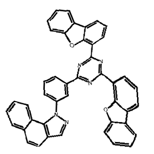 c1cc(-c2nc(-c3cccc4c3oc3ccccc34)nc(-c3cccc4c3oc3ccccc34)n2)cc(-n2ncc3ccc4ccccc4c32)c1